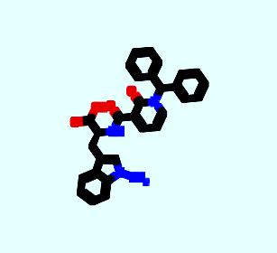 Nn1cc(C[C@H](NC(=O)c2cccn(C(c3ccccc3)c3ccccc3)c2=O)C(=O)O)c2ccccc21